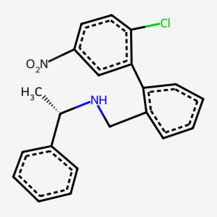 C[C@H](NCc1ccccc1-c1cc([N+](=O)[O-])ccc1Cl)c1ccccc1